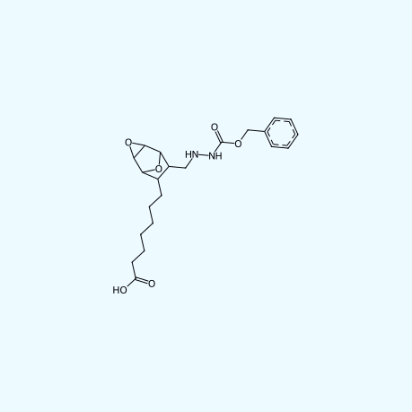 O=C(O)CCCCCCC1C(CNNC(=O)OCc2ccccc2)C2OC1C1OC21